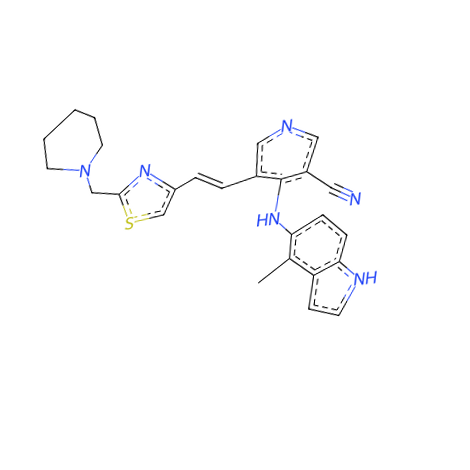 Cc1c(Nc2c(C#N)cncc2C=Cc2csc(CN3CCCCC3)n2)ccc2[nH]ccc12